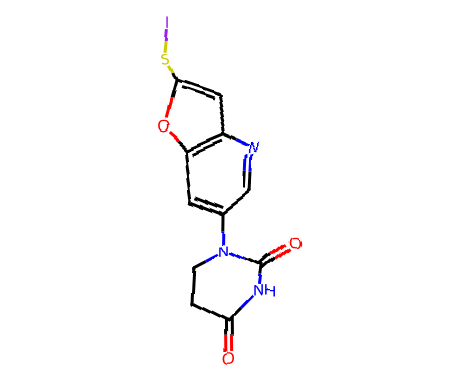 O=C1CCN(c2cnc3cc(SI)oc3c2)C(=O)N1